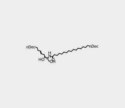 CCCCCCCCCCCCC=CC[C@@H](O)[C@H](CO)NC(=O)CCCCCCCCCCCCCCCCCCCCCCCCC